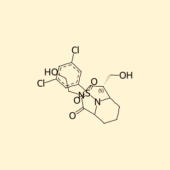 O=C1C2CCCC([C@@H](CO)CN1CCO)N2S(=O)(=O)c1cc(Cl)cc(Cl)c1